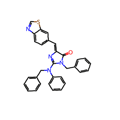 O=C1C(=Cc2ccc3ncsc3c2)N=C(N(Cc2ccccc2)c2ccccc2)N1Cc1ccccc1